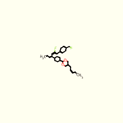 C=C/C=C(\C=C(\F)CC1CCC(CF)CC1)C1CCC(C2OCC(C/C=C\CC)CO2)CC1